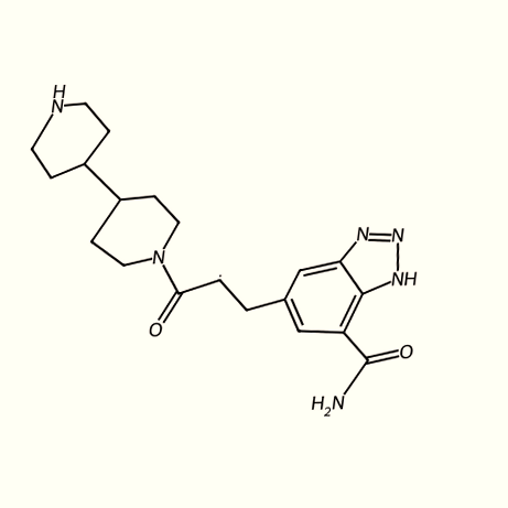 NC(=O)c1cc(C[CH]C(=O)N2CCC(C3CCNCC3)CC2)cc2nn[nH]c12